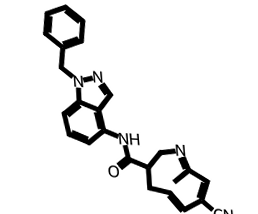 CC1=N\CC(C(=O)Nc2cccc3c2cnn3Cc2ccccc2)C/C=C/C(C#N)=C\1